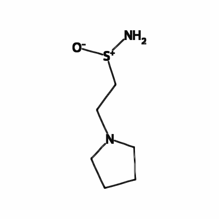 N[S+]([O-])CCN1CCCC1